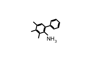 Cc1cc(-c2ccccc2)c(C)c(C)c1C.N